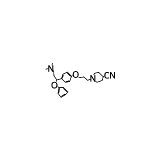 CN(C)CCC(Oc1ccccc1)c1ccc(OCCCN2CCC(C#N)CC2)cc1